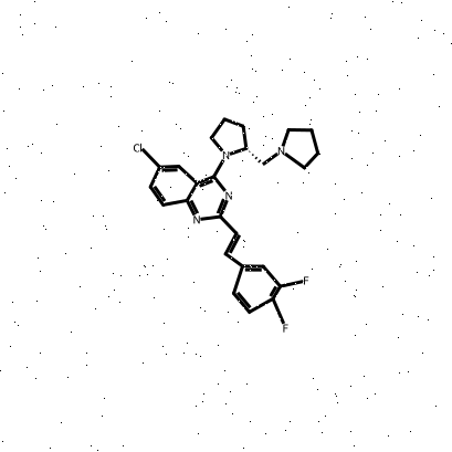 Fc1ccc(C=Cc2nc(N3CCC[C@@H]3CN3CCCC3)c3cc(Cl)ccc3n2)cc1F